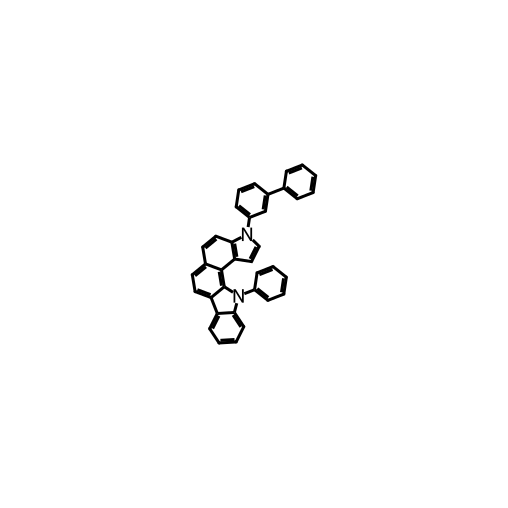 c1ccc(-c2cccc(-n3ccc4c5c(ccc6c7ccccc7n(-c7ccccc7)c65)ccc43)c2)cc1